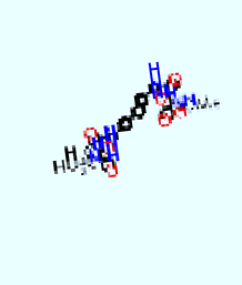 COC(=O)N[C@H](C(=O)N1CCOC[C@H]1c1nc(-c2ccc3cc(-c4ccc(-c5c[nH]c([C@@H]6COCCN6C(=O)[C@H](C6CCOCC6)N(C)C(=O)O)n5)cc4)ccc3c2)c[nH]1)C1CCOCC1